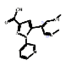 C/N=C\C(=C/NC)c1cc(C(=O)O)nn1-c1cccnc1